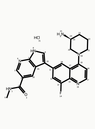 CNC(=O)c1cnc2[nH]cc(-c3cc(F)c4nccc(N5CCC[C@H](N)C5)c4c3)c2c1.Cl